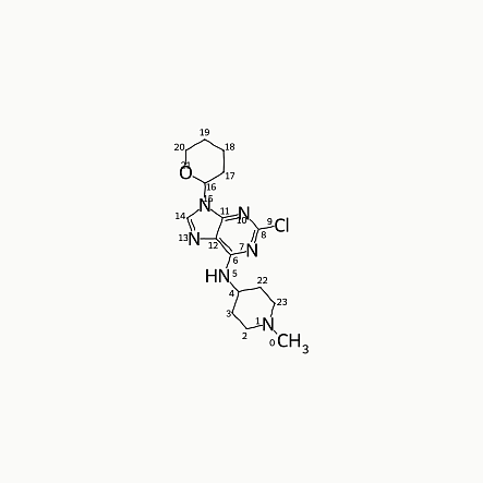 CN1CCC(Nc2nc(Cl)nc3c2ncn3C2CCCCO2)CC1